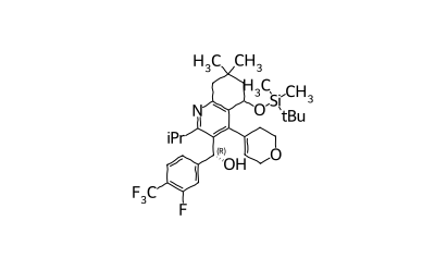 CC(C)c1nc2c(c(C3=CCOCC3)c1[C@H](O)c1ccc(C(F)(F)F)c(F)c1)C(O[Si](C)(C)C(C)(C)C)CC(C)(C)C2